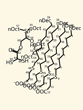 CCCCCCCCCCCCCCCCCCSCCC(=O)[O-].CCCCCCCCCCCCCCCCCCSCCC(=O)[O-].CCCCCCCCCCCCCCCCCCSCCC(=O)[O-].CCCCCCCCCCCCCCCCCCSCCC(=O)[O-].CCCCCCC[CH2][Sn+2][CH2]CCCCCCC.CCCCCCC[CH2][Sn+]([CH2]CCCCCCC)[CH](O)COC(=O)C(S)S